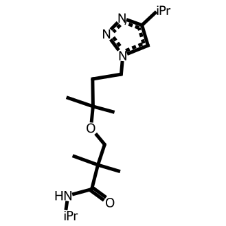 CC(C)NC(=O)C(C)(C)COC(C)(C)CCn1cc(C(C)C)nn1